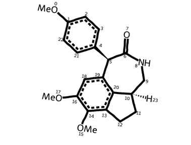 COc1ccc([C@H]2C(=O)NC[C@H]3CCc4c(OC)c(OC)cc2c43)cc1